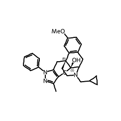 COc1ccc2c(c1)[C@]13CCN(CC4CC4)C(C2)[C@]1(O)Cc1c(C)nn(-c2ccccc2)c1C3